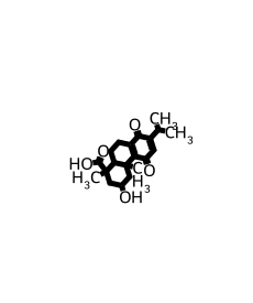 CC(C)C1=CC(=O)C2=C(CCC3C(C)(C(=O)O)CC(O)CC23C)C1=O